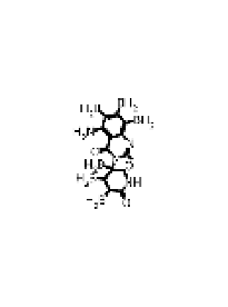 Bc1c(B)c(N)c2c(=O)n(C3(B)C(=O)NC(=O)C(B)C3B)c(C)nc2c1B